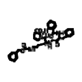 O=C(NCCCC[C@H](NCC(=O)[C@H](Cc1ccccc1)NC(=O)c1ccccc1)C(=O)N1CCC[C@H]1C(=O)O)OCc1ccccc1